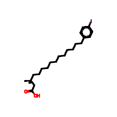 C[C@@H](CCCCCCCCCCCCc1ccc(I)cc1)CC(=O)O